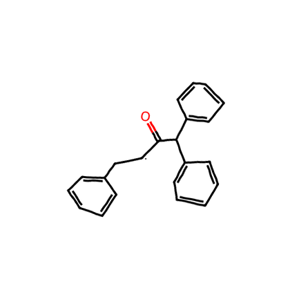 O=C([CH]Cc1ccccc1)C(c1ccccc1)c1ccccc1